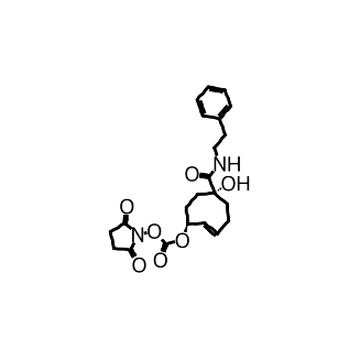 O=C(O[C@@H]1/C=C/CC[C@](O)(C(=O)NCCc2ccccc2)CC1)ON1C(=O)CCC1=O